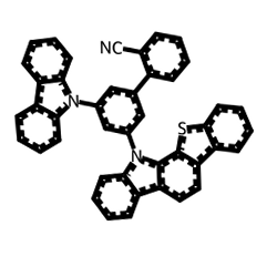 N#Cc1ccccc1-c1cc(-n2c3ccccc3c3ccccc32)cc(-n2c3ccccc3c3ccc4c5ccccc5sc4c32)c1